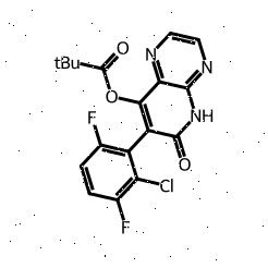 CC(C)(C)C(=O)Oc1c(-c2c(F)ccc(F)c2Cl)c(=O)[nH]c2nccnc12